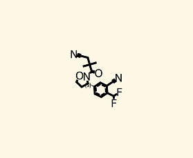 CC(C)(CC#N)C(=O)N1OCC[C@H]1c1ccc(C(F)F)c(C#N)c1